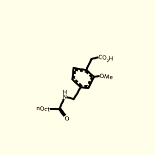 CCCCCCCCC(=O)NCc1ccc(CC(=O)O)c(OC)c1